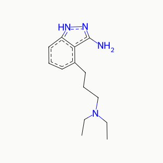 CCN(CC)CCCc1cccc2[nH]nc(N)c12